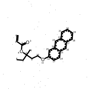 C=CC(=O)OC(C)(CC)CCOc1ccc2cc3ccccc3cc2c1